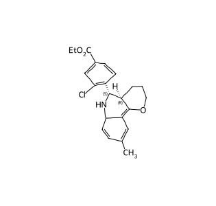 CCOC(=O)c1ccc([C@H]2NC3C=CC(C)=CC3=C3OCCC[C@@H]32)c(Cl)c1